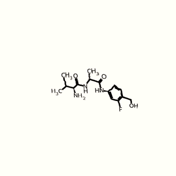 CC(C)[C@H](N)C(=O)N[C@@H](C)C(=O)Nc1ccc(CO)c(F)c1